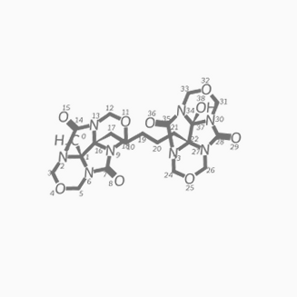 C[C@]12N3COCN1C(=O)N1COCN(C3=O)[C@]12CCCCC[C@]12N3COCN1C(=O)N1COCN(C3=O)[C@]12O